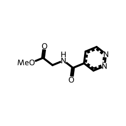 COC(=O)CNC(=O)c1ccnnc1